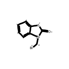 O=c1sc2ccccc2n1CBr